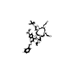 CCOP(=O)(CN1CCN(CC=O)CCN(CC=O)CCN(CC(=O)OC(C)(C)C)CC1)C(CC(=O)OCc1ccccc1)c1ccc([N+](=O)[O-])cc1